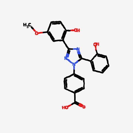 COc1ccc(O)c(-c2nc(-c3ccccc3O)n(-c3ccc(C(=O)O)cc3)n2)c1